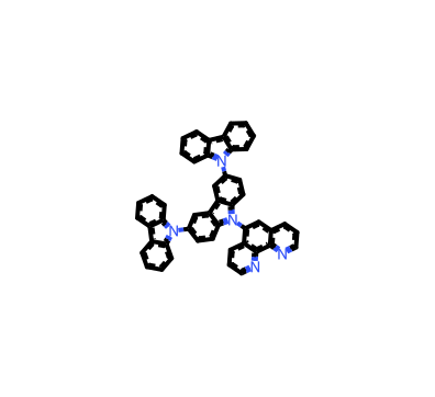 c1cnc2c(c1)cc(-n1c3ccc(-n4c5ccccc5c5ccccc54)cc3c3cc(-n4c5ccccc5c5ccccc54)ccc31)c1cccnc12